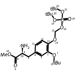 CCCCOc1cc(C[C@H](N)C(=O)OC)ccc1OCOP(=O)(OC(C)(C)C)OC(C)(C)C